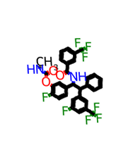 CNC(=O)Oc1cc(C(NC(=O)c2cccc(C(F)(F)F)c2)C(c2ccccc2)c2cc(F)cc(C(F)(F)F)c2)ccc1F